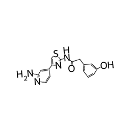 Nc1cc(-c2csc(NC(=O)Cc3cccc(O)c3)n2)ccn1